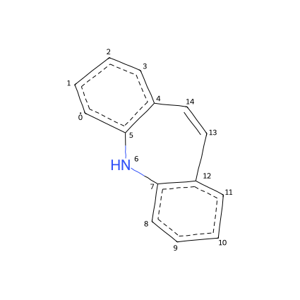 [c]1cccc2c1Nc1ccccc1C=C2